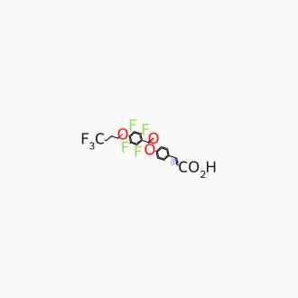 O=C(O)/C=C/c1ccc(OC(=O)c2c(F)c(F)c(OCCCC(F)(F)F)c(F)c2F)cc1